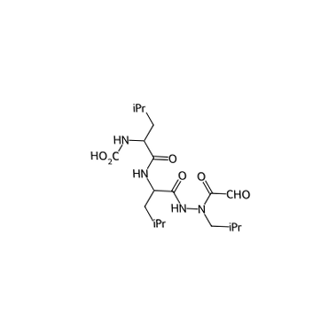 CC(C)CC(NC(=O)O)C(=O)NC(CC(C)C)C(=O)NN(CC(C)C)C(=O)C=O